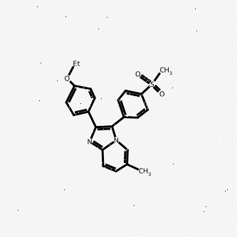 CCOc1ccc(-c2nc3ccc(C)cn3c2-c2ccc(S(C)(=O)=O)cc2)cc1